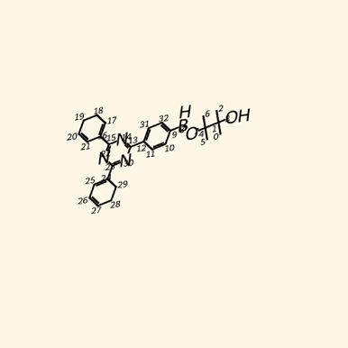 CC(C)(O)C(C)(C)OBc1ccc(-c2nc(C3=CCCC=C3)nc(C3=CC=CCC3)n2)cc1